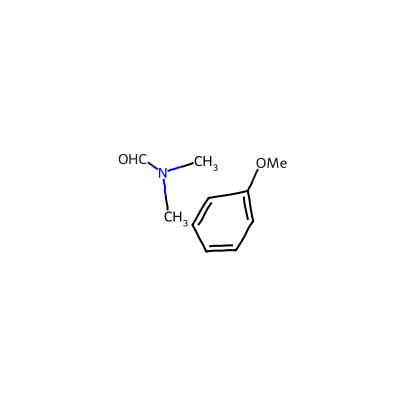 CN(C)C=O.COc1ccccc1